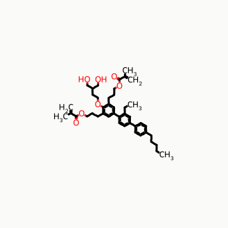 C=C(C)C(=O)OCCCc1cc(-c2ccc(-c3ccc(CCCCC)cc3)cc2CC)cc(CCCOC(=O)C(=C)C)c1OCCC(CO)CO